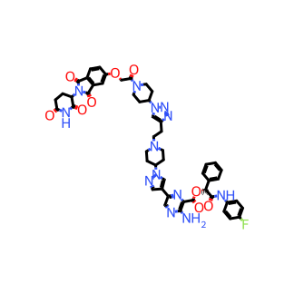 Nc1ncc(-c2cnn(C3CCN(CCc4cn(C5CCN(C(=O)COc6ccc7c(c6)C(=O)N(C6CCC(=O)NC6=O)C7=O)CC5)nn4)CC3)c2)nc1C(=O)O[C@@H](C(=O)Nc1ccc(F)cc1)c1ccccc1